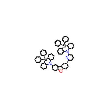 c1ccc([Si]2(c3ccccc3)c3ccccc3N(c3ccc4oc5ccc(-c6cccc(N7c8ccccc8[Si](c8ccccc8)(c8ccccc8)c8ccccc87)n6)cc5c4c3)c3ccccc32)cc1